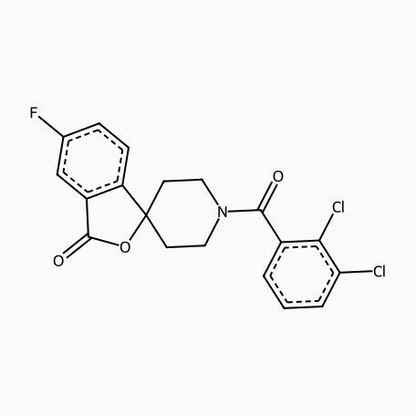 O=C1OC2(CCN(C(=O)c3cccc(Cl)c3Cl)CC2)c2ccc(F)cc21